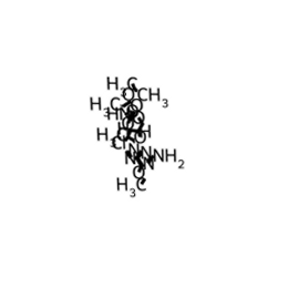 CCOc1nc(N)nc2c1ncn2[C@@H]1O[C@@H]2COP(=O)(N[C@H](C)C(=O)OC(C)C)O[C@H]2[C@@]1(C)Cl